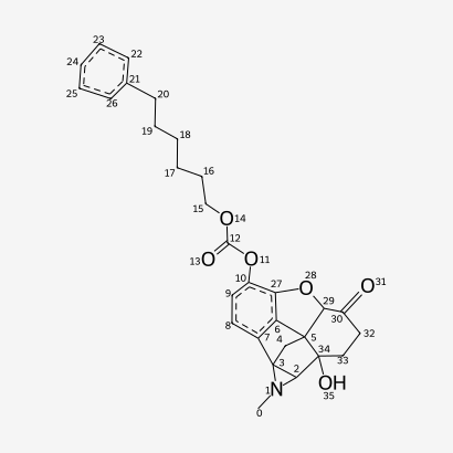 CN1C2C13CC14c5c3ccc(OC(=O)OCCCCCCc3ccccc3)c5OC1C(=O)CCC24O